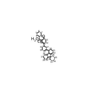 CC1(C)c2ccccc2Oc2ccc(-c3cccc(-c4cccc5c4-c4ccccc4C54CCCCC4)c3)cc21